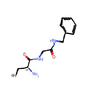 CC(C)C[C@H](N)C(=O)NCC(=O)NCc1ccccc1